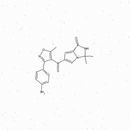 Bc1ccc(-c2noc(C)c2C(=O)c2cc3n(c2)C(C)(C)NC3=O)cc1